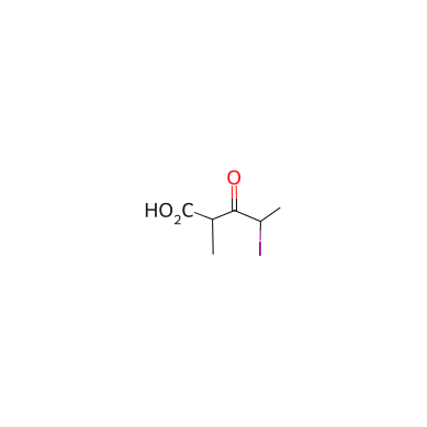 CC(I)C(=O)C(C)C(=O)O